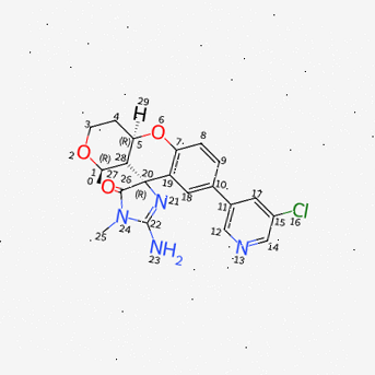 C[C@H]1OCC[C@H]2Oc3ccc(-c4cncc(Cl)c4)cc3[C@]3(N=C(N)N(C)C3=O)C12